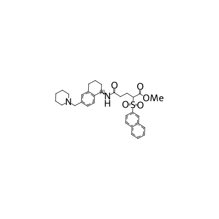 COC(=O)C(CCC(=O)N[C@@H]1CCCc2cc(CN3CCCCC3)ccc21)S(=O)(=O)c1ccc2ccccc2c1